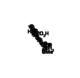 COc1ccc(-c2c3ccc(=O)cc-3oc3cc(OCc4ccc(OCC5=C(C(=O)O)N6C(=O)[C@@H](NC(=O)Cc7ccccc7)[C@H]6SC5)cc4)ccc23)c(C)c1